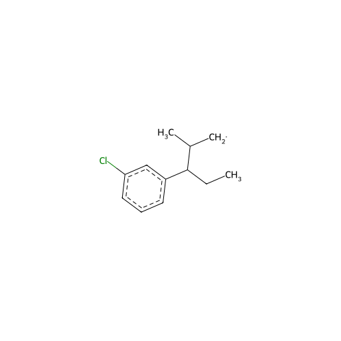 [CH2]C(C)C(CC)c1cccc(Cl)c1